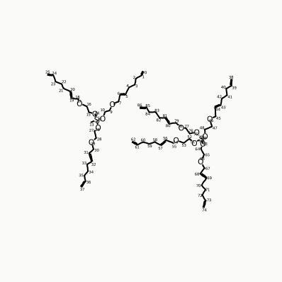 C=CCCCC=CCOCCO[Si](C)(OCCOCC=CCCCC=C)OCCOCC=CCCCC=C.C=CCCCC=CCOCCO[Si](OCCOCC=CCCCC=C)(OCCOCC=CCCCC=C)OCCOCC=CCCCC=C